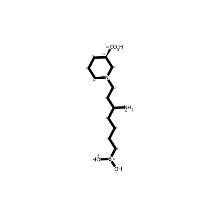 NC(CCCCB(O)O)CCN1CCC[C@@H](C(=O)O)C1